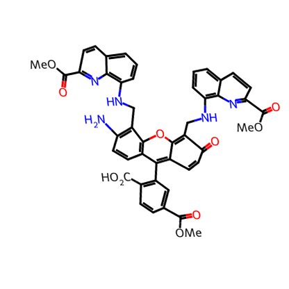 COC(=O)c1ccc(C(=O)O)c(-c2c3ccc(=O)c(CNc4cccc5ccc(C(=O)OC)nc45)c-3oc3c(CNc4cccc5ccc(C(=O)OC)nc45)c(N)ccc23)c1